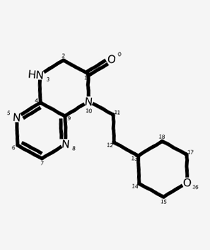 O=C1CNc2nccnc2N1CCC1CCOCC1